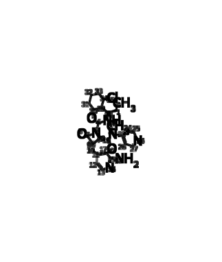 CC[C@@H](NC(=O)N1C(=O)[C@@H](Cc2ccnc(N)c2)[C@H]1C(=O)N(C)c1ccncc1)C1CCCCC1Cl